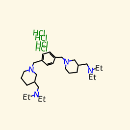 CCN(CC)CC1CCCN(Cc2ccc(CN3CCCC(CN(CC)CC)C3)cc2)C1.Cl.Cl.Cl.Cl